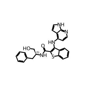 O=C(N[C@H](CO)Cc1ccccc1)c1sc2ccccc2c1Nc1ccnc2[nH]ccc12